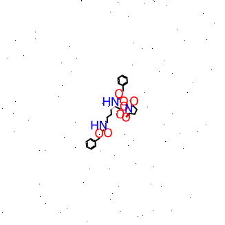 O=C(NCCCC[C@H](NC(=O)OCc1ccccc1)C(=O)ON1C(=O)CCC1=O)OCc1ccccc1